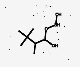 CC(B(O)OBO)C(C)(C)C